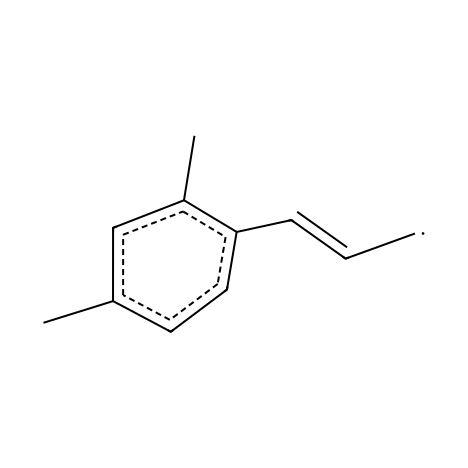 [CH2]/C=C/c1ccc(C)cc1C